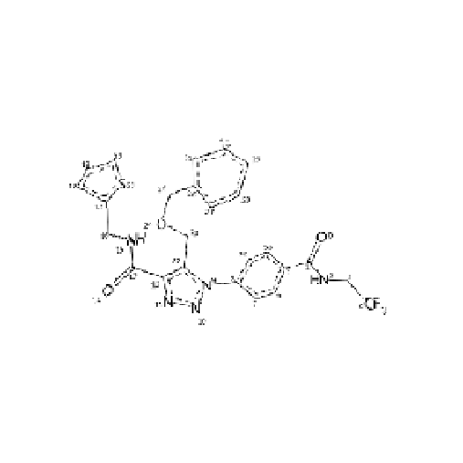 O=C(NCC(F)(F)F)c1ccc(-n2nnc(C(=O)NCc3cccs3)c2COCc2ccccc2)cc1